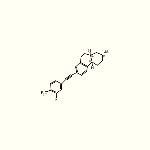 CC[C@@H]1CC[C@@H]2c3ccc(C#Cc4ccc(C(F)(F)F)c(F)c4)cc3CC[C@@H]2C1